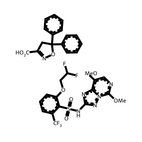 COc1cnc(OC)n2nc(NS(=O)(=O)c3c(OCC(F)F)cccc3C(F)(F)F)nc12.O=C(O)C1=NOC(c2ccccc2)(c2ccccc2)C1